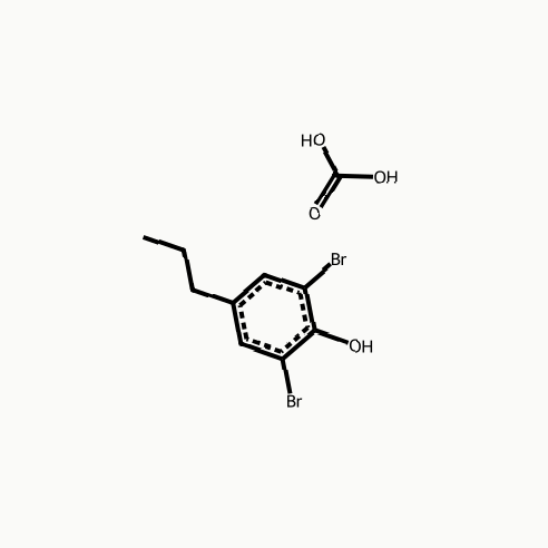 CCCc1cc(Br)c(O)c(Br)c1.O=C(O)O